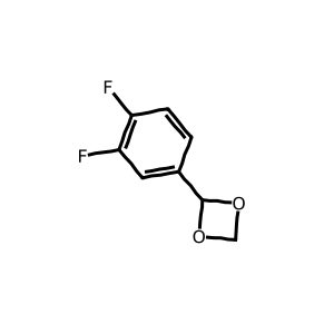 Fc1ccc(C2OCO2)cc1F